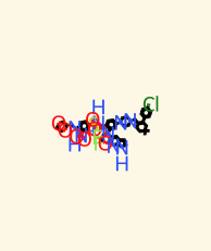 CC1(C)CCC(CN2CCN(c3ccc(C(=O)NS(=O)(=O)c4ccc(NC[C@H]5COCCO5)c([N+](=O)[O-])c4)c(N4CC(F)(F)Oc5nc6[nH]ccc6cc54)c3)CC2)=C(c2ccc(Cl)cc2)C1